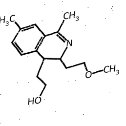 COCCC1N=C(C)c2cc(C)ccc2C1CCO